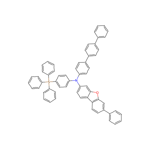 c1ccc(-c2ccc(-c3ccc(N(c4ccc(S(c5ccccc5)(c5ccccc5)c5ccccc5)cc4)c4ccc5c(c4)oc4cc(-c6ccccc6)ccc45)cc3)cc2)cc1